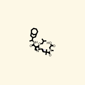 CC(C)COc1c(C(=O)NC(C)C2CC3CCCCC(C3)C2)cnn1/C=C/C(C)(C)C(=O)N(C)CC(=O)O